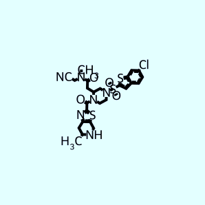 CC1Cc2nc(C(=O)N3CCN(S(=O)(=O)c4cc5ccc(Cl)cc5s4)CC3CC(=O)N(C)CC#N)sc2CN1